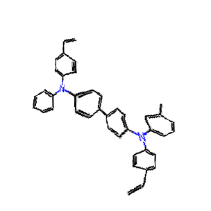 C=Cc1ccc(N(c2ccccc2)c2ccc(-c3ccc(N(c4ccc(C=C)cc4)c4cccc(C)c4)cc3)cc2)cc1